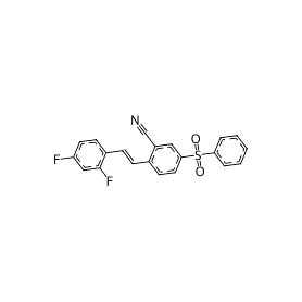 N#Cc1cc(S(=O)(=O)c2ccccc2)ccc1C=Cc1ccc(F)cc1F